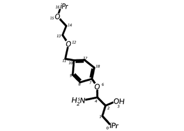 CC(C)CC(O)C(N)Oc1ccc(COCCOC(C)C)cc1